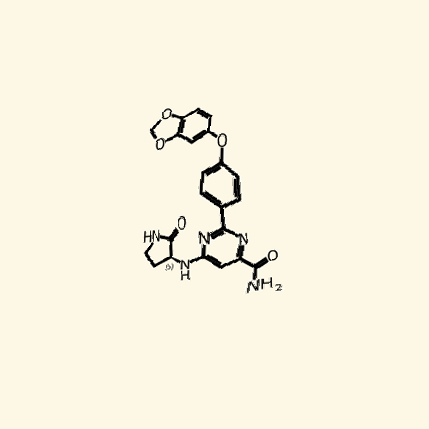 NC(=O)c1cc(N[C@H]2CCNC2=O)nc(-c2ccc(Oc3ccc4c(c3)OCO4)cc2)n1